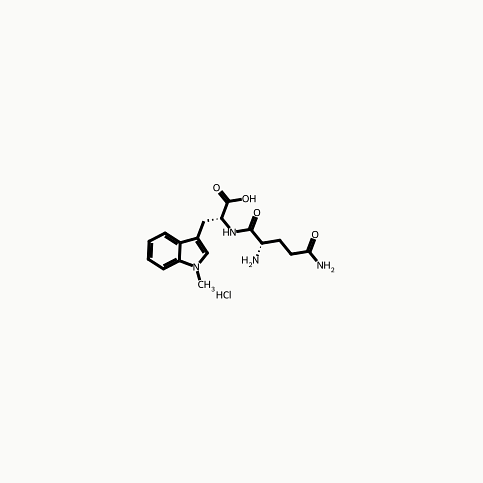 Cl.Cn1cc(C[C@@H](NC(=O)[C@@H](N)CCC(N)=O)C(=O)O)c2ccccc21